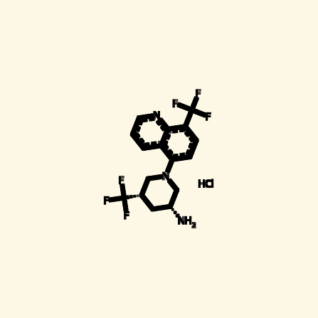 Cl.N[C@@H]1C[C@H](C(F)(F)F)CN(c2ccc(C(F)(F)F)c3ncccc23)C1